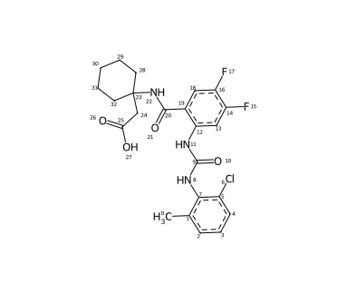 Cc1cccc(Cl)c1NC(=O)Nc1cc(F)c(F)cc1C(=O)NC1(CC(=O)O)CCCCC1